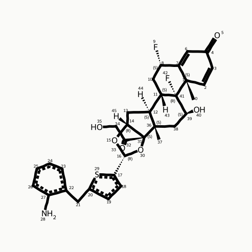 C[C@]12C=CC(=O)C=C1[C@@H](F)C[C@H]1[C@@H]3C[C@H]4O[C@@H](c5ccc(Cc6ccccc6N)s5)O[C@@]4(C(=O)CO)[C@@]3(C)C[C@H](O)[C@@]12F